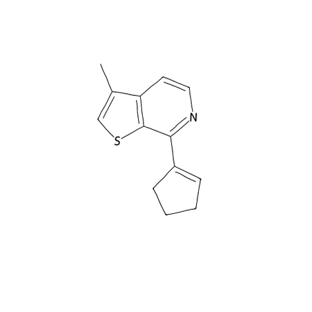 Cc1csc2c(C3=CCCC3)nccc12